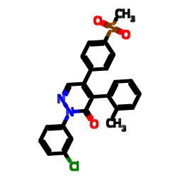 Cc1ccccc1-c1c(-c2ccc(S(C)(=O)=O)cc2)cnn(-c2cccc(Cl)c2)c1=O